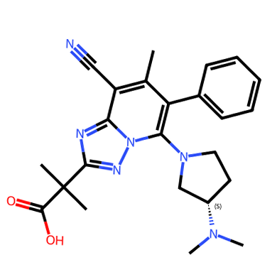 Cc1c(-c2ccccc2)c(N2CC[C@H](N(C)C)C2)n2nc(C(C)(C)C(=O)O)nc2c1C#N